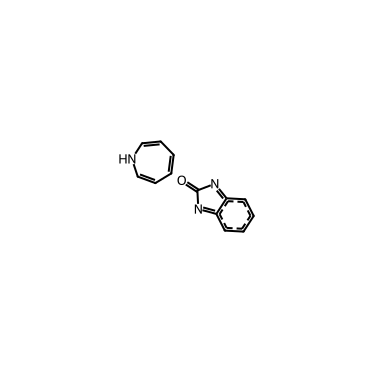 C1=CC=CNC=C1.O=C1N=c2ccccc2=N1